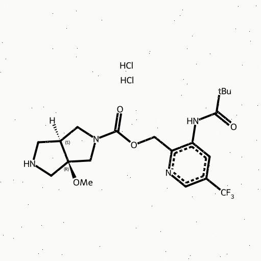 CO[C@@]12CNC[C@H]1CN(C(=O)OCc1ncc(C(F)(F)F)cc1NC(=O)C(C)(C)C)C2.Cl.Cl